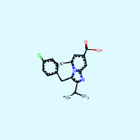 Cc1cc(C(=O)O)cc2nc(C(C)C)c(Cc3ccc(Cl)cc3)n12